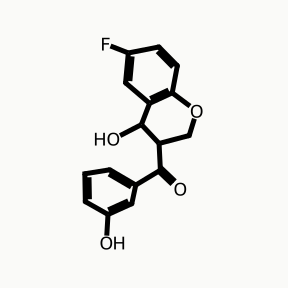 O=C(c1cccc(O)c1)C1COc2ccc(F)cc2C1O